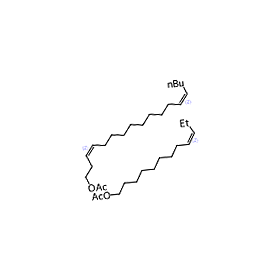 CC/C=C\CCCCCCCCOC(C)=O.CCCC/C=C\CCCCCCCC/C=C\CCOC(C)=O